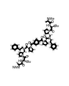 CN[C@@H](C)C(=O)N[C@H](C(=O)N1CCC[C@H]1CN(CCc1ccccc1)C(=O)[C@H]1CCCN1C(=O)c1ccc(C(=O)N2CCC[C@@H]2C(=O)N(CCc2ccccc2)C[C@@H]2CCCN2C(=O)[C@@H](NC(=O)[C@H](C)NC)C(C)(C)C)cc1)C(C)(C)C